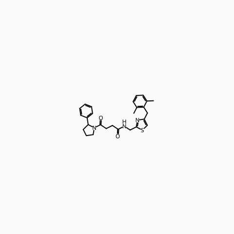 Cc1cccc(C)c1Cc1csc(CNC(=O)CCC(=O)N2CCCC2c2ccccc2)n1